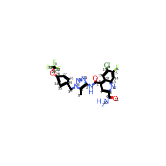 Cc1c(NC(=O)c2cc(C(N)=O)nc3cc(F)c(Cl)cc23)nnn1Cc1ccc(OC(F)(F)F)cc1